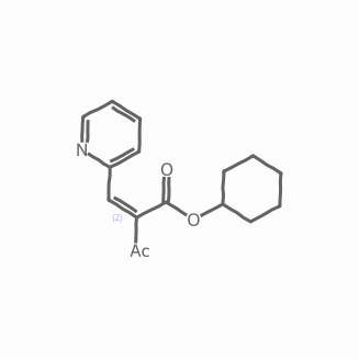 CC(=O)/C(=C/c1ccccn1)C(=O)OC1CCCCC1